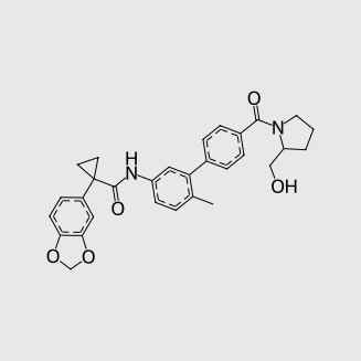 Cc1ccc(NC(=O)C2(c3ccc4c(c3)OCO4)CC2)cc1-c1ccc(C(=O)N2CCCC2CO)cc1